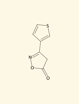 O=C1CC(c2ccsc2)=NO1